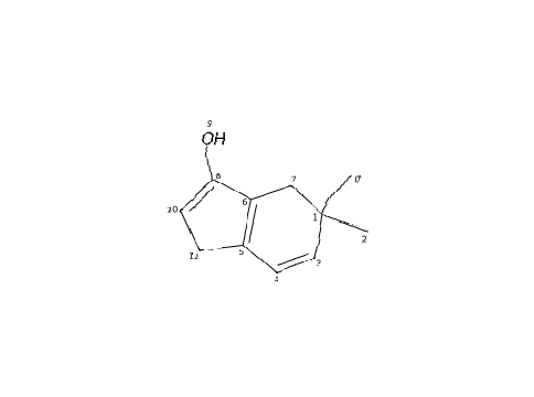 CC1(C)C=CC2=C(C1)C(O)=CC2